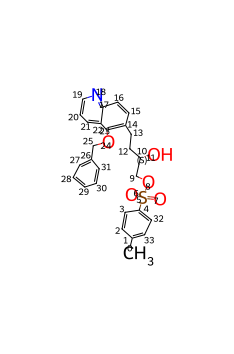 Cc1ccc(S(=O)(=O)OC[C@@H](O)CCc2ccc3ncccc3c2OCc2ccccc2)cc1